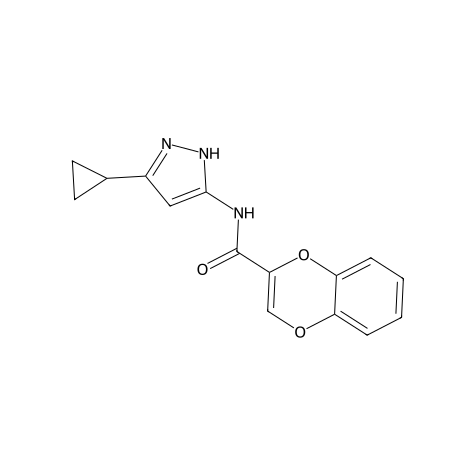 O=C(Nc1cc(C2CC2)n[nH]1)C1=COc2ccccc2O1